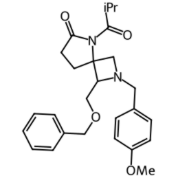 COc1ccc(CN2CC3(CCC(=O)N3C(=O)C(C)C)C2COCc2ccccc2)cc1